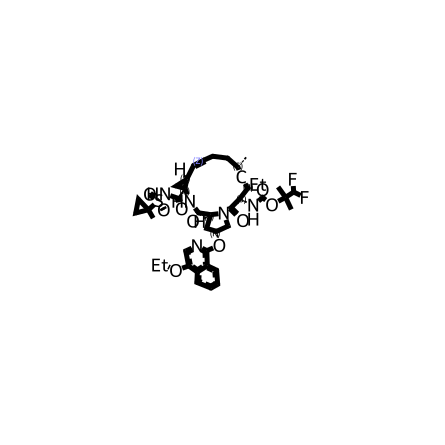 CCOc1cnc(O[C@@H]2C[C@H]3C(=O)N[C@]4(C(=O)NS(=O)(=O)C5(C)CC5)C[C@H]4/C=C\CC[C@H](C)C[C@@H](CC)[C@H](NC(=O)OC(C)(C)C(F)F)C(=O)N3C2)c2ccccc12